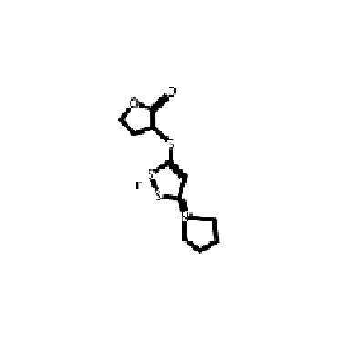 O=C1OCCC1Sc1cc(=[N+]2CCCC2)ss1.[I-]